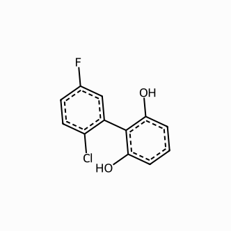 Oc1cccc(O)c1-c1cc(F)ccc1Cl